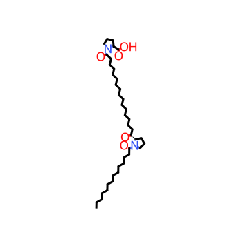 CCCCCCCCCCCCCC(=O)N1CCC[C@H]1C(=O)CCCCCCCCCCCCCCCC(=O)N1CCCC1C(=O)O